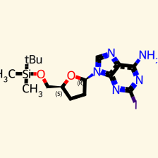 CC(C)(C)[Si](C)(C)OC[C@@H]1CC[C@H](n2cnc3c(N)nc(I)nc32)O1